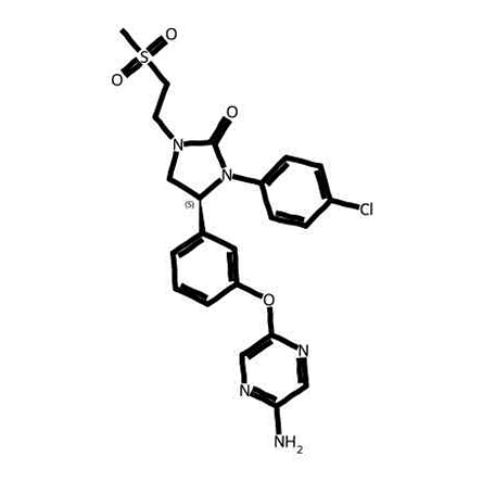 CS(=O)(=O)CCN1C[C@H](c2cccc(Oc3cnc(N)cn3)c2)N(c2ccc(Cl)cc2)C1=O